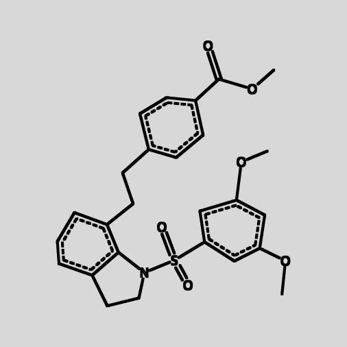 COC(=O)c1ccc(CCc2cccc3c2N(S(=O)(=O)c2cc(OC)cc(OC)c2)CC3)cc1